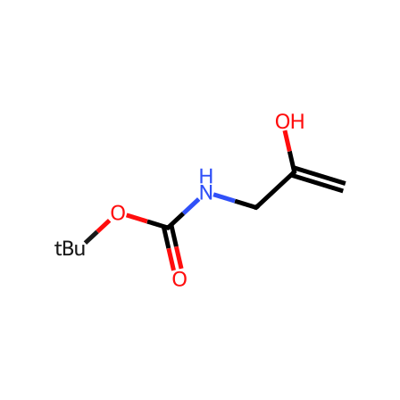 C=C(O)CNC(=O)OC(C)(C)C